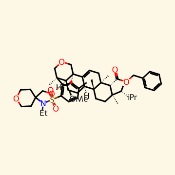 CCN(C1(CO[C@H]2[C@H](OC)C[C@@]34COC[C@@]2(C)[C@@H]3CC[C@H]2C4=CC[C@@]3(C)[C@H](C(=O)OCc4ccccc4)[C@@](C)([C@H](C)C(C)C)CC[C@]23C)CCOCC1)S(=O)(=O)c1ccc(C)cc1